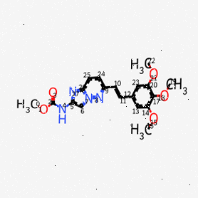 COC(=O)Nc1cn2nc(C=Cc3cc(OC)c(OC)c(OC)c3)ccc2n1